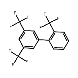 FC(F)(F)c1cc(-c2[c]cccc2C(F)(F)F)cc(C(F)(F)F)c1